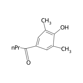 CCCC(=O)c1cc(C)c(O)c(C)c1